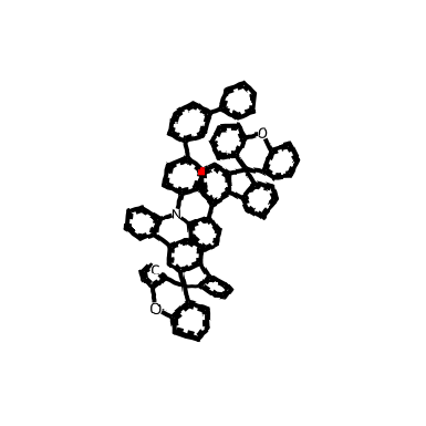 c1ccc(-c2cccc(-c3ccc(N(c4ccccc4-c4ccc5c(c4)C4(c6ccccc6Oc6ccccc64)c4ccccc4-5)c4ccccc4-c4cccc5c4-c4ccccc4C54c5ccccc5Oc5ccccc54)cc3)c2)cc1